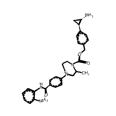 CC1CN(c2ccc(C(=O)Nc3ccccc3N)cc2)CCN1C(=O)OCc1ccc([C@H]2C[C@@H]2N)cc1